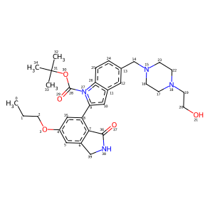 CCCOc1cc2c(c(-c3cc4cc(CN5CCN(CCO)CC5)ccc4n3C(=O)OC(C)(C)C)c1)C(=O)NC2